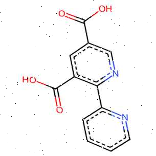 O=C(O)c1cnc(-c2ccccn2)c(C(=O)O)c1